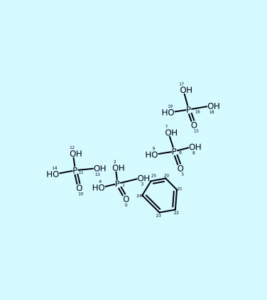 O=P(O)(O)O.O=P(O)(O)O.O=P(O)(O)O.O=P(O)(O)O.c1ccccc1